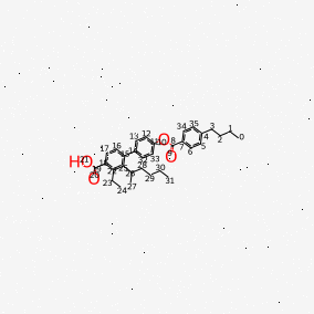 CCCCc1ccc(C(=O)Oc2ccc(-c3ccc(C(=O)O)c(CC)c3C(C)CCCC)cc2)cc1